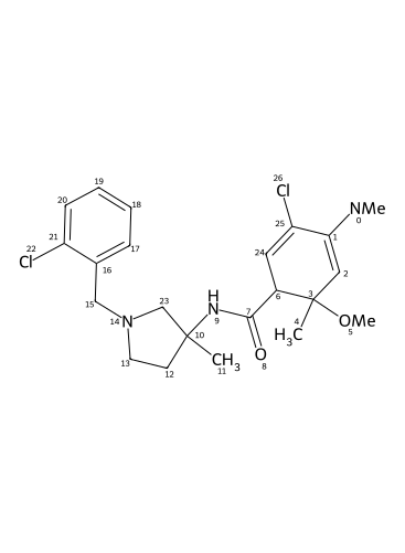 CNC1=CC(C)(OC)C(C(=O)NC2(C)CCN(Cc3ccccc3Cl)C2)C=C1Cl